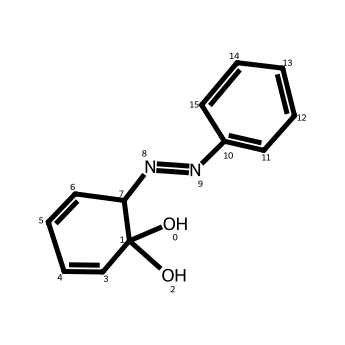 OC1(O)C=CC=CC1/N=N/c1ccccc1